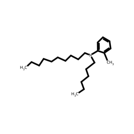 CCCCCCCCCCN(CCCCCC)c1ccccc1C